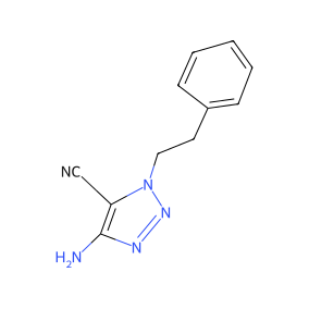 N#Cc1c(N)nnn1CCc1ccccc1